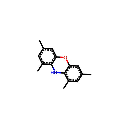 Cc1cc(C)c2c(c1)Oc1cc(C)cc(C)c1N2